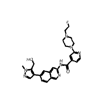 Cn1ncc(-c2ccc3cnc(NC(=O)c4ccnc(N5CCN(CCF)CC5)c4)cc3c2)c1CO